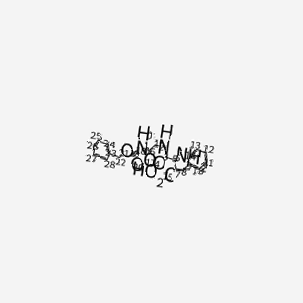 C[C@H](NC(=O)[C@@H](N)C(Cc1ccccc1)C(=O)O)C(=O)NC(=O)OCc1ccccc1